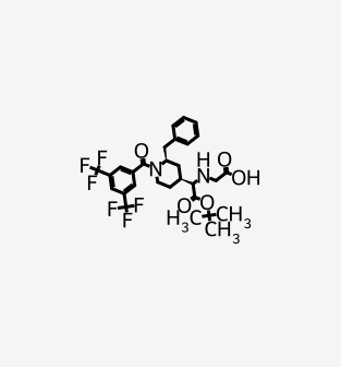 CC(C)(C)OC(=O)C(NCC(=O)O)[C@H]1CCN(C(=O)c2cc(C(F)(F)F)cc(C(F)(F)F)c2)[C@@H](Cc2ccccc2)C1